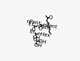 CCCCCC(=O)CC.CCCCCC(=O)CCCCC.CCCCCCC(=O)CC.CCCCCCC(C)=O.O=[PH](O)O